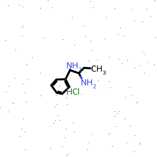 CCC(N)C(N)c1ccccc1.Cl